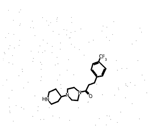 O=C(CCc1ccc(C(F)(F)F)cc1)N1CCN(C2CCNCC2)CC1